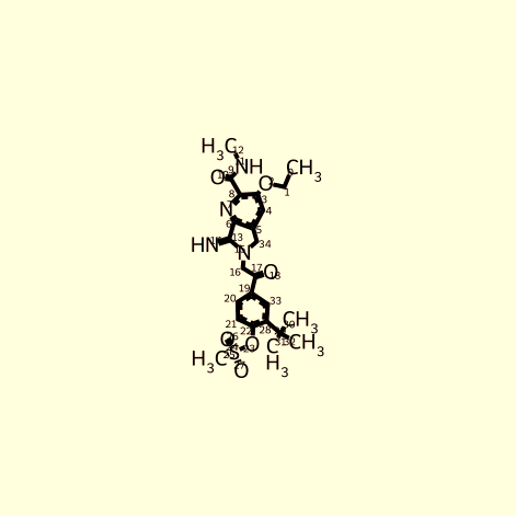 CCOc1cc2c(nc1C(=O)NC)C(=N)N(CC(=O)c1ccc(OS(C)(=O)=O)c(C(C)(C)C)c1)C2